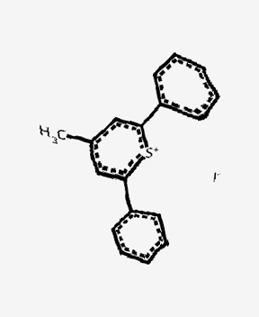 Cc1cc(-c2ccccc2)[s+]c(-c2ccccc2)c1.[I-]